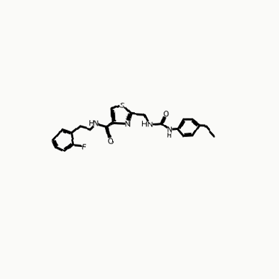 CCc1ccc(NC(=O)NCc2nc(C(=O)NCCc3ccccc3F)cs2)cc1